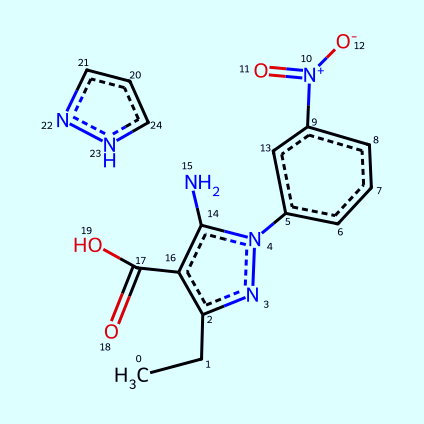 CCc1nn(-c2cccc([N+](=O)[O-])c2)c(N)c1C(=O)O.c1cn[nH]c1